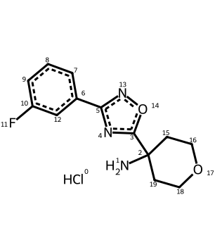 Cl.NC1(c2nc(-c3cccc(F)c3)no2)CCOCC1